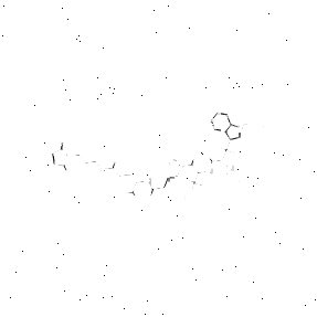 CN[C@H](C(=O)NC(C(=O)N(C)C/C=C(\C)C(=O)N[C@H](CCC(=O)NCCCN1C(=O)C=CC1=O)C(=O)O)C(C)(C)C)C(C)(C)c1cn(C)c2ccccc12